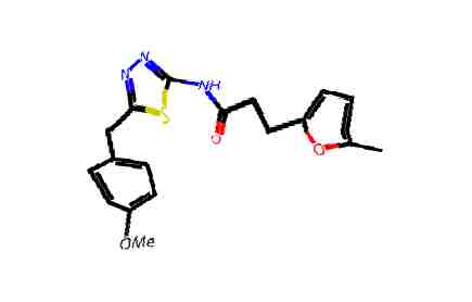 COc1ccc(Cc2nnc(NC(=O)CCc3ccc(C)o3)s2)cc1